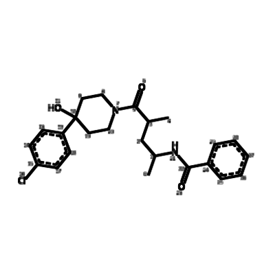 CC(CC(C)C(=O)N1CCC(O)(c2ccc(Cl)cc2)CC1)NC(=O)c1ccccc1